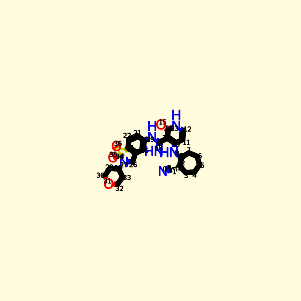 N#C[C@H]1CCCCC[C@@H]1Nc1cc[nH]c(=O)c1C(=N)Nc1ccc2c(c1)CN(C1CCOCC1)S2(=O)=O